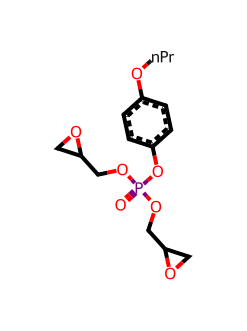 CCCOc1ccc(OP(=O)(OCC2CO2)OCC2CO2)cc1